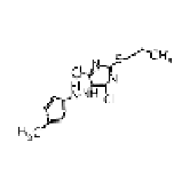 CCCSc1nc(Cl)c(NNc2ccc(C)cc2)c(Cl)n1